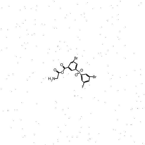 NCC(=O)OC(=O)c1cc(Br)cc(S(=O)(=O)c2cc(F)cc(Br)c2)c1